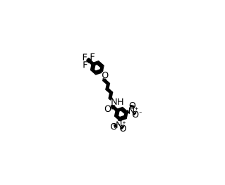 O=C(NCCCCCOc1ccc(C(F)(F)F)cc1)c1cc([N+](=O)[O-])cc([N+](=O)[O-])c1